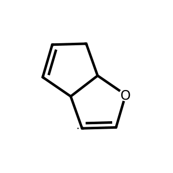 [C]1=COC2CC=CC12